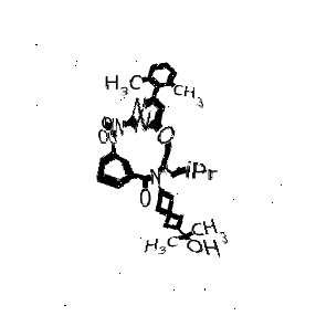 Cc1cccc(C)c1-c1cc2nc(n1)NS(=O)(=O)c1cccc(c1)C(=O)N([C@H]1CC3(C1)C[C@H](C(C)(C)O)C3)[C@H](CC(C)C)CO2